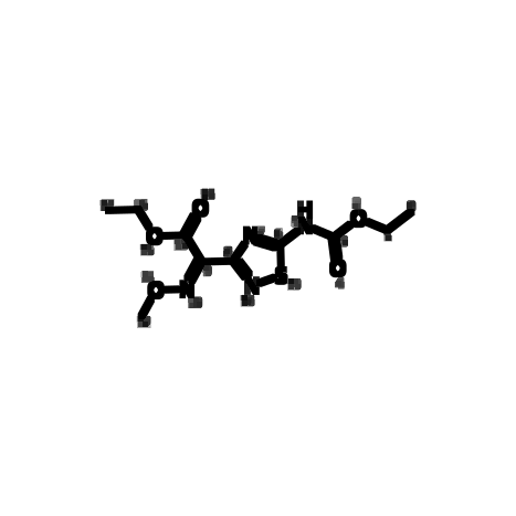 CCOC(=O)Nc1nc(C(=NOC)C(=O)OCC)ns1